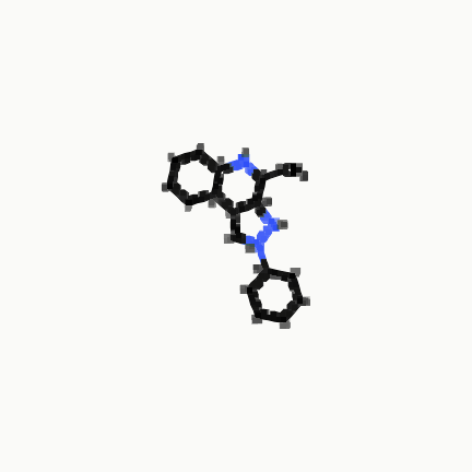 Cc1nc2ccccc2c2cn(-c3ccccc3)nc12